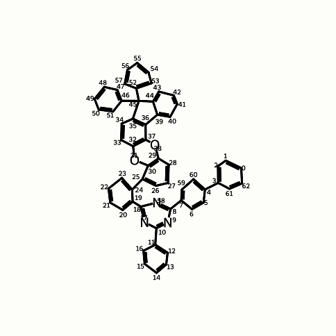 c1ccc(-c2ccc(-c3nc(-c4ccccc4)nc(-c4ccccc4-c4cccc5c4Oc4ccc6c(c4O5)-c4ccccc4C6(c4ccccc4)c4ccccc4)n3)cc2)cc1